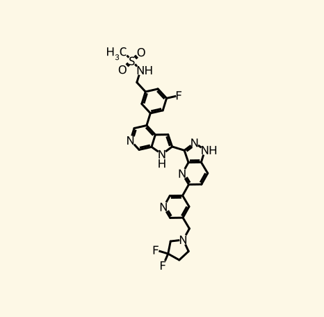 CS(=O)(=O)NCc1cc(F)cc(-c2cncc3[nH]c(-c4n[nH]c5ccc(-c6cncc(CN7CCC(F)(F)C7)c6)nc45)cc23)c1